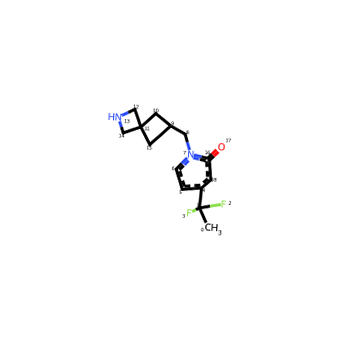 CC(F)(F)c1ccn(CC2CC3(CNC3)C2)c(=O)c1